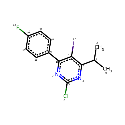 CC(C)c1nc(Cl)nc(-c2ccc(F)cc2)c1I